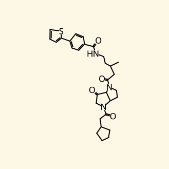 CC(CCNC(=O)c1ccc(-c2cccs2)cc1)CC(=O)N1CCC2C1C(=O)CN2C(=O)CC1CCCC1